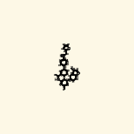 Cc1nc(NC(C)c2cccc(-c3cnc(NCc4ccco4)nc3)c2)cc(-c2ccc3occ(C)c3c2)n1